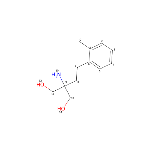 Cc1ccccc1CCC(N)(CO)CO